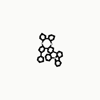 c1ccc(-c2ccc3c(c2)-c2ccc(-c4cccc5c6ccccc6n(-c6ccccc6)c45)cc2Oc2ccccc2-c2ccccc2O3)cc1